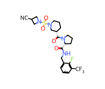 N#CC1CN(S(=O)(=O)N2CCC[C@H](C(=O)N3CCC[C@@H]3C(=O)NCc3cccc(C(F)(F)F)c3F)C2)C1